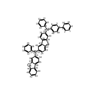 c1ccc(-c2ccc(N(c3ccccc3)c3ccc4c(c3)sc3ccc(N(c5ccccc5)c5ccc6c(c5)oc5ccccc56)cc34)cc2)cc1